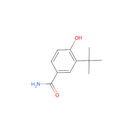 CC(C)(C)c1cc(C(N)=O)ccc1O